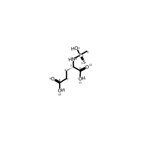 CP(O)(=S)N[C@@H](CCC(=O)O)C(=O)O